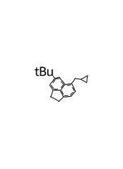 CC(C)(C)c1cc2c3c(ccc(CC4CC4)c3c1)CC2